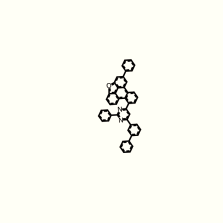 c1ccc(-c2cccc(-c3cc(-c4cccc5c6cc(-c7ccccc7)cc7oc8cccc(c45)c8c76)nc(-c4ccccc4)n3)c2)cc1